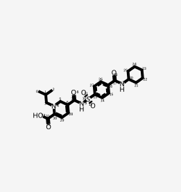 CC(C)CN1CC(C(=O)NS(=O)(=O)c2ccc(C(=O)NC3CCCCC3)cc2)=CC=C1C(=O)O